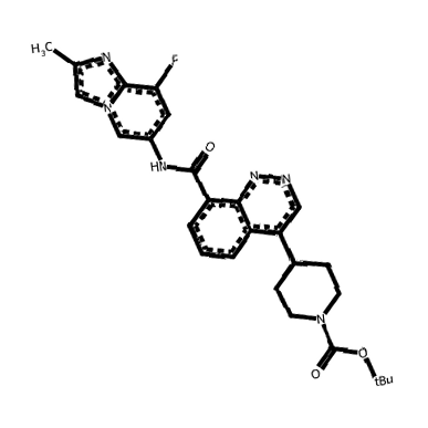 Cc1cn2cc(NC(=O)c3cccc4c(C5CCN(C(=O)OC(C)(C)C)CC5)cnnc34)cc(F)c2n1